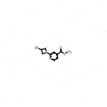 COC(=O)c1ccnc(N2CC(O)C2)c1